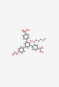 CCCCCCOc1c(-c2ccc(C(=O)O)cc2)cc(-c2ccc(OC=O)cc2)cc1-c1ccc(C(=O)O)cc1